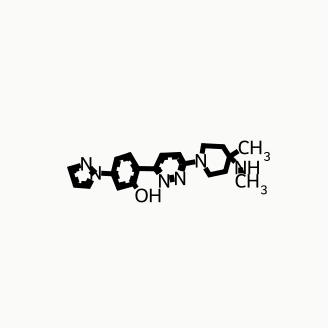 CNC1(C)CCN(c2ccc(-c3ccc(-n4cccn4)cc3O)nn2)CC1